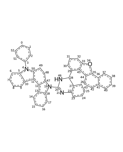 c1ccc(-n2c3ccccc3c3c4c5ccccc5n(C5=Nc6ccccc6C(c6cccc7oc8c9ccccc9ccc8c67)N5)c4ccc32)cc1